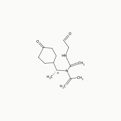 C=C(C)N(C(=C)NCC=O)[C@H](C)C1CCC(=O)CC1